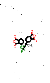 CC(c1ccc2c(c1)C(=O)OC2=O)(c1ccc2c(c1)C(=O)OC2=O)C(F)(F)C(F)(F)F